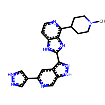 CN1CCC(c2nccc3[nH]c(-c4n[nH]c5cnc(-c6cn[nH]c6)cc45)nc23)CC1